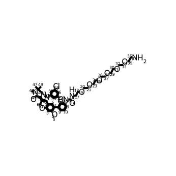 COc1cc2c(cc1-c1cccc(NC(=O)NCCOCCOCCOCCOCCOCCOCCN)c1)-c1c(c(C(=O)N(C)C(C)(C)C)nn1-c1cc(Cl)cc(Cl)c1)CO2